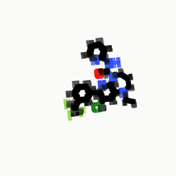 CCN1CCCN(C(=O)Nc2ccccn2)c2nc(-c3cccc(C(F)(F)F)c3)c(Cl)cc21